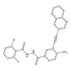 Cc1ccc(C(=O)NNC(=O)c2c(Cl)cccc2I)cc1C#Cc1cnc2ccccc2c1